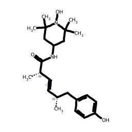 C[C@H](/C=C/[C@H](C)C(=O)NC1CC(C)(C)N(O)C(C)(C)C1)Cc1ccc(O)cc1